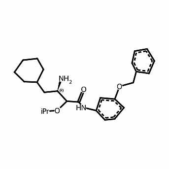 CC(C)OC(C(=O)Nc1cccc(OCc2ccccc2)c1)[C@H](N)CC1CCCCC1